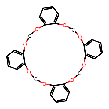 c1ccc2c(c1)OCOc1ccccc1OCOc1ccccc1OCOc1ccccc1OCO2